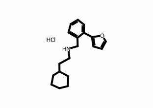 Cl.c1coc(-c2ccccc2CNCCC2CCCCC2)c1